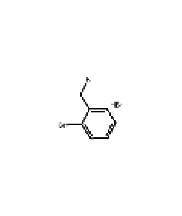 Br.BrCc1ccccc1Br